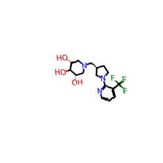 OC1[C@H](O)CN(C[C@H]2CCN(c3ncccc3C(F)(F)F)C2)C[C@@H]1O